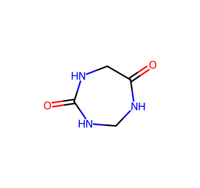 O=C1CNC(=O)NCN1